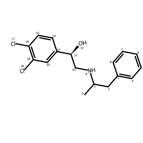 CC(Cc1ccccc1)NC[C@H](O)c1ccc(Cl)c(Cl)c1